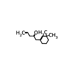 C=CCC(=O)CC1=CC(C)(C)CCC1